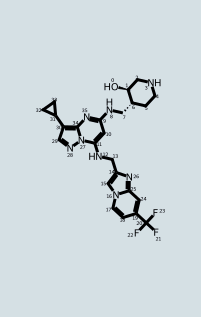 O[C@H]1CNCC[C@@H]1CNc1cc(NCc2cn3ccc(C(F)(F)F)cc3n2)n2ncc(C3CC3)c2n1